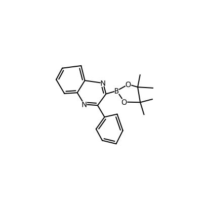 CC1(C)OB(c2nc3ccccc3nc2-c2ccccc2)OC1(C)C